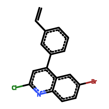 C=Cc1cccc(-c2cc(Cl)nc3ccc(Br)cc23)c1